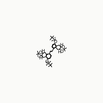 CC1(C)O[C@H]2Cc3c(O[Si](C)(C)C(C)(C)C)ccc(/C=C/c4ccc(O[Si](C)(C)C(C)(C)C)c5c4C[C@H]4OC(C)(C)O[C@H]4C5)c3C[C@H]2O1